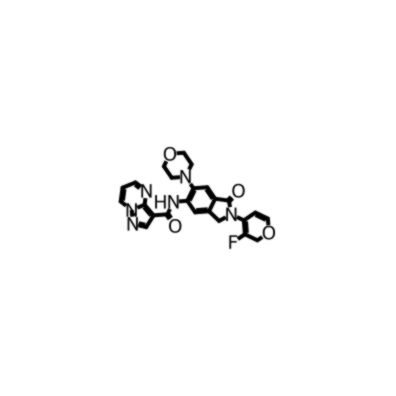 O=C(Nc1cc2c(cc1N1CCOCC1)C(=O)N(C1=C(F)COC=C1)C2)c1cnn2cccnc12